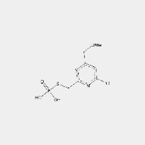 COCc1cc(Cl)nc(CSP(=O)(O)O)n1